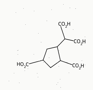 O=C(O)C1CC(C(=O)O)C(C(C(=O)O)C(=O)O)C1